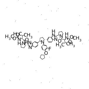 COC(=O)NC(C(=O)N1CCC[C@H]1c1nc2ccc([C@H]3CC[C@H](c4ccc5nc(C6CCCN6C(=O)[C@@H](NC(=O)OC)C(C)C)[nH]c5c4)N3c3ccc(OC4CCCC4)c(F)c3)cc2[nH]1)C(C)C